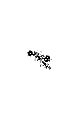 CCCC(NC(=O)[C@@H]1[C@H]2CCC(=O)[C@H]2CN1C(=O)[C@@H](NC(=O)OC(C)C)C(C)C)C(O)C(=O)N[C@@H](Cc1ccccc1)C(=O)O